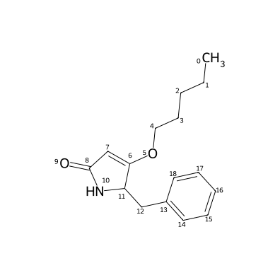 CCCCCOC1=CC(=O)NC1Cc1ccccc1